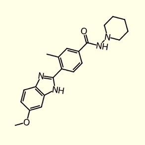 COc1ccc2nc(-c3ccc(C(=O)NN4CCCCC4)cc3C)[nH]c2c1